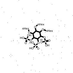 CCCCCCOC1C(OCCCCCC)C(OP(=O)(O)O)C(OP(=O)(O)O)C(OP(=O)(O)O)C1OCCCCCC